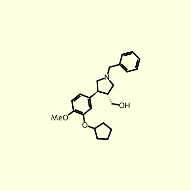 COc1ccc([C@H]2CN(Cc3ccccc3)C[C@@H]2CO)cc1OC1CCCC1